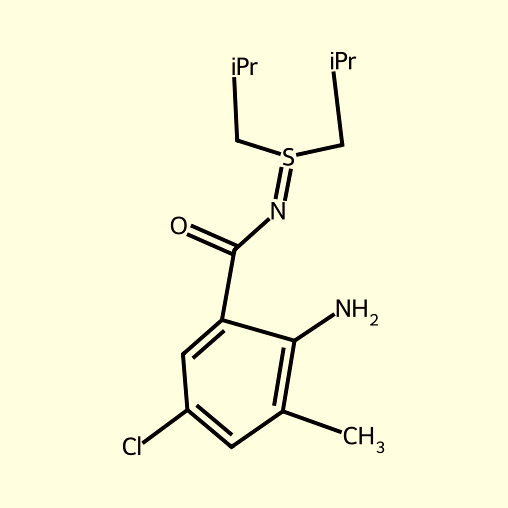 Cc1cc(Cl)cc(C(=O)N=S(CC(C)C)CC(C)C)c1N